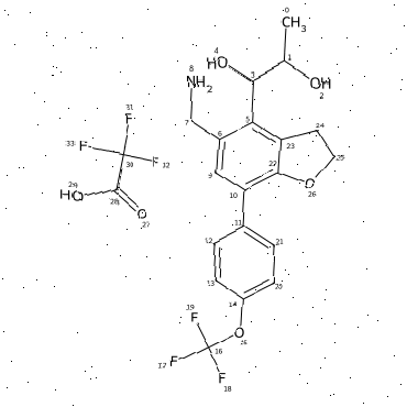 CC(O)C(O)c1c(CN)cc(-c2ccc(OC(F)(F)F)cc2)c2c1CCO2.O=C(O)C(F)(F)F